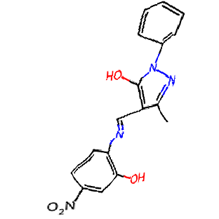 Cc1nn(-c2ccccc2)c(O)c1/C=N/c1ccc([N+](=O)[O-])cc1O